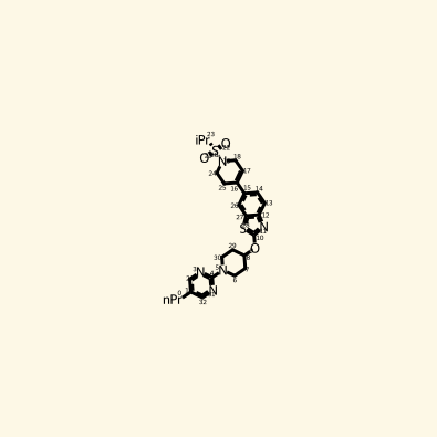 CCCc1cnc(N2CCC(Oc3nc4ccc(C5=CCN(S(=O)(=O)C(C)C)CC5)cc4s3)CC2)nc1